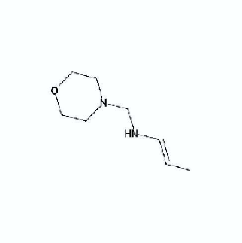 CC=CNCN1CCOCC1